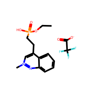 CCOP(=O)(O)CCc1c[n+](C)nc2ccccc12.O=C([O-])C(F)(F)F